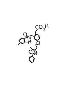 Cc1ccc(C(=O)NCc2cc(OCCc3nc(-c4ccccc4)oc3C)ccc2CCC(=O)O)c(C)c1